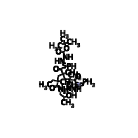 CCC(C)(CC(C)(CC(C)(C)C(=O)/S(NN)=P\P)C(=O)S(=P)NNC(=O)OC(C)(C)C)C(=O)NCC(C)O